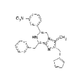 C=c1c(CC2=CC=CC2)nc2n1C=C(c1cccc([N+](=O)[O-])c1)NC=2Cc1ccccc1